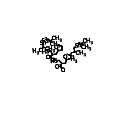 CC(C)[CH2][Sn+2][CH2]C(C)C.CC(C)[CH2][Sn+2][CH2]C(C)C.O=C([O-])C(CS)CC1CCCO1.O=C([O-])C(CS)CC1CCCO1.[S-2]